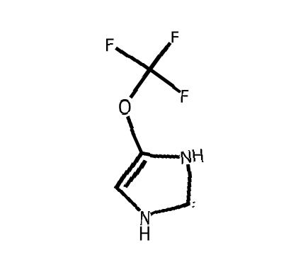 FC(F)(F)OC1=CN[C]N1